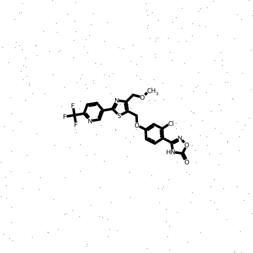 COCc1nc(-c2ccc(C(F)(F)F)nc2)sc1COc1ccc(-c2noc(=O)[nH]2)c(Cl)c1